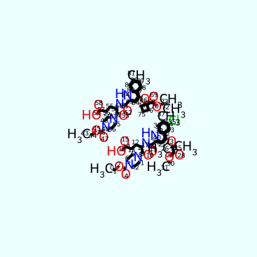 CCOC(=O)N1CCN(C(=O)C(CCC(=O)O)NC(=O)c2cc(OC(C)(C)C(=O)OCC)c3cc(Cl)c(C)cc3n2)CC1.CCOC(=O)N1CCN(C(=O)C(CCC(=O)O)NC(=O)c2cc(OC3(C(=O)OC(C)C)CCC3)c3ccc(C)cc3n2)CC1